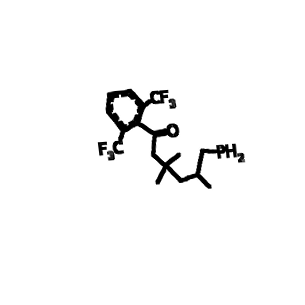 CC(CP)CC(C)(C)CC(=O)c1c(C(F)(F)F)cccc1C(F)(F)F